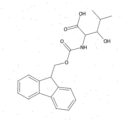 CC(C)C(O)C(NC(=O)OCC1c2ccccc2-c2ccccc21)C(=O)O